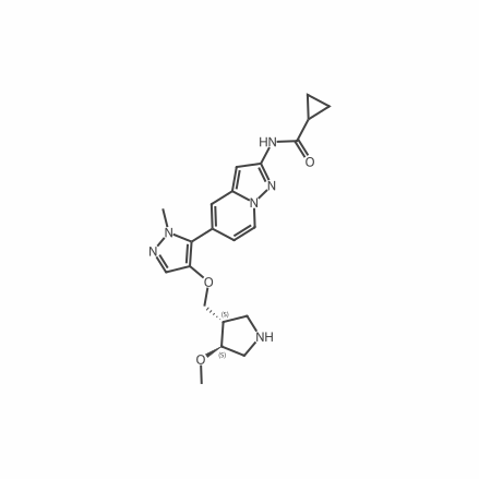 CO[C@@H]1CNC[C@H]1COc1cnn(C)c1-c1ccn2nc(NC(=O)C3CC3)cc2c1